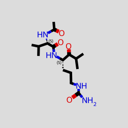 CC(=O)N[C@H](C(=O)N[C@@H](CCCNC(N)=O)C(=O)C(C)C)C(C)C